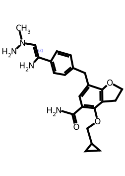 CN(N)/C=C(\N)c1ccc(Cc2cc(C(N)=O)c(OCC3CC3)c3c2OCC3)cc1